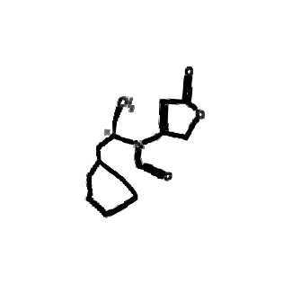 C[C@H](CC1CCCCC1)N(C=O)C1=CC(=O)OC1